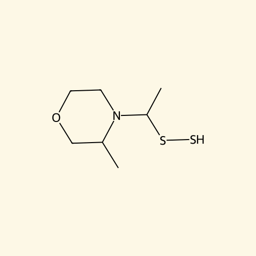 CC1COCCN1C(C)SS